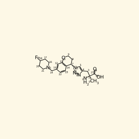 C[C@@](N)(Cc1cn([C@@H]2CCOc3cc(CN4CCC(F)CC4)ccc32)nn1)C(=O)O